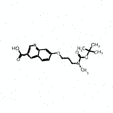 CN(CCCOc1ccc2cc(C(=O)O)cnc2c1)C(=O)OC(C)(C)C